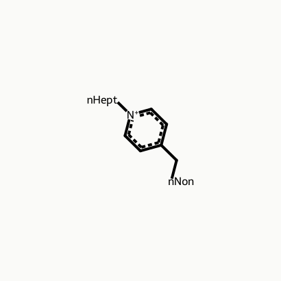 CCCCCCCCCCc1cc[n+](CCCCCCC)cc1